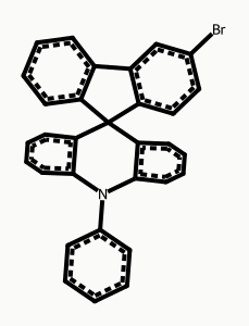 Brc1ccc2c(c1)-c1ccccc1C21c2ccccc2N(c2ccccc2)c2ccccc21